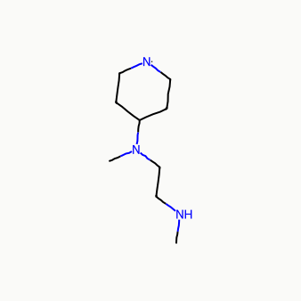 CNCCN(C)C1CC[N]CC1